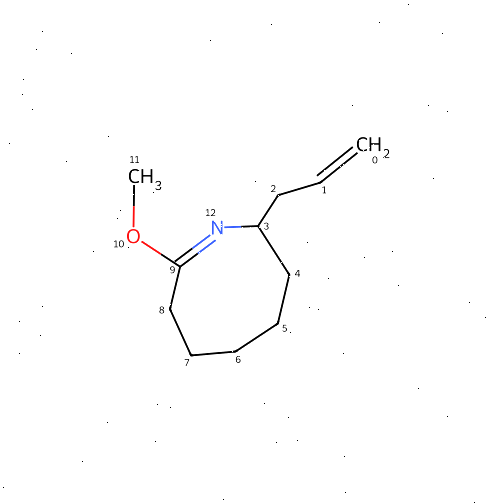 C=CCC1CCCCCC(OC)=N1